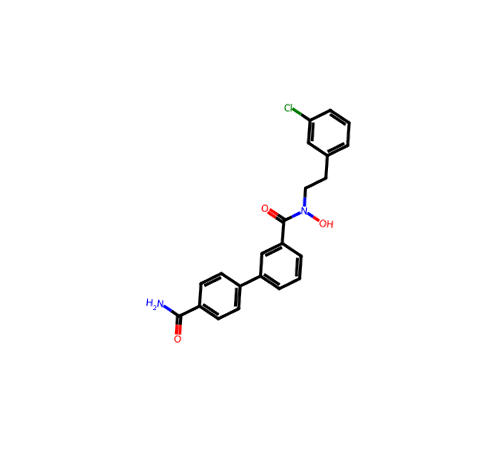 NC(=O)c1ccc(-c2cccc(C(=O)N(O)CCc3cccc(Cl)c3)c2)cc1